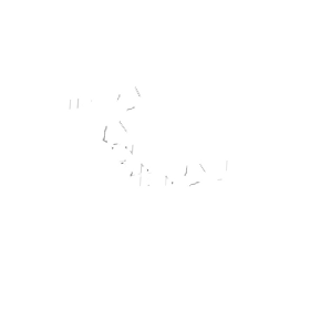 OCCc1ccccc1-c1ccnc(N[C@@H]2CCCC[C@H]2N[C@H]2CCCN(c3ccc(C(F)(F)F)cc3)C2)c1